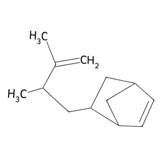 C=C(C)C(C)CC1CC2C=CC1C2